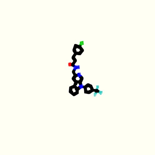 O=C(/C=C/c1ccc(Cl)cc1)NCc1cc2c3ccccc3n(-c3ccc(C(F)(F)F)cc3)c2cn1